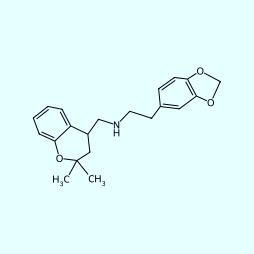 CC1(C)CC(CNCCc2ccc3c(c2)OCO3)c2ccccc2O1